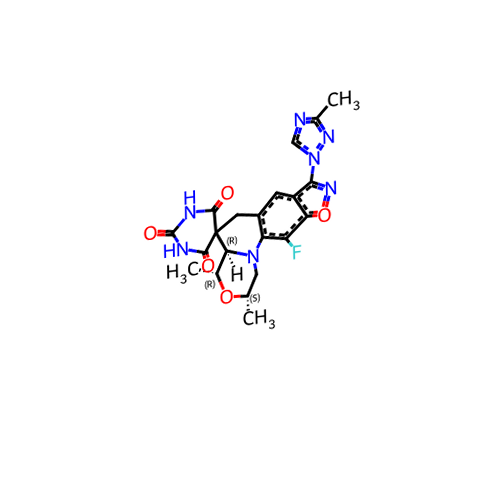 Cc1ncn(-c2noc3c(F)c4c(cc23)CC2(C(=O)NC(=O)NC2=O)[C@@H]2[C@@H](C)O[C@@H](C)CN42)n1